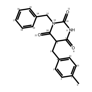 Cc1ccc(CC2C(=O)NC(=O)N(Cc3ccccc3)C2=O)cc1